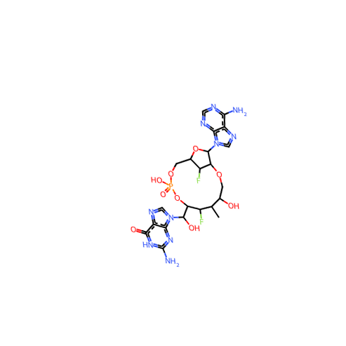 CC1C(O)COC2C(F)C(COP(=O)(O)OC(C(O)n3cnc4c(=O)[nH]c(N)nc43)C1F)OC2n1cnc2c(N)ncnc21